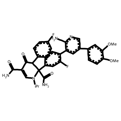 COc1ccc(-c2cnc(N)c(-c3ccc(C4(C(N)=O)C(c5ccc(F)cc5)C(=O)C(C(N)=O)=CN4C(C)C)cc3F)c2)cc1OC